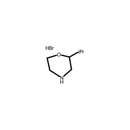 Br.CC(C)C1CNCCO1